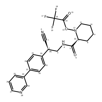 N#C[C@@H](CNC(=O)[C@@H]1CCCCN1OC(=O)C(F)(F)F)c1ccc(-c2cccnc2)cc1